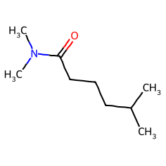 CC(C)CCCC(=O)N(C)C